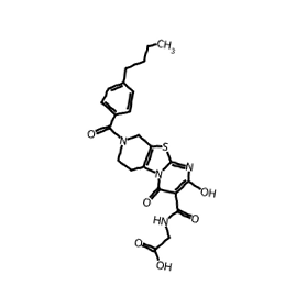 CCCCc1ccc(C(=O)N2CCc3c(sc4nc(O)c(C(=O)NCC(=O)O)c(=O)n34)C2)cc1